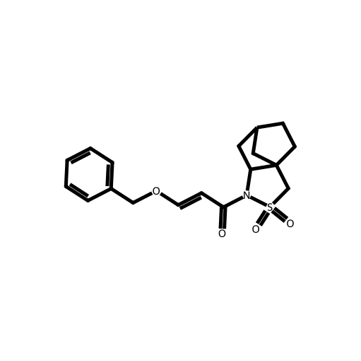 O=C(/C=C/OCc1ccccc1)N1C2CC3CCC2(C3)CS1(=O)=O